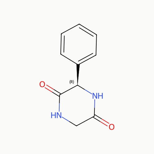 O=C1CNC(=O)[C@@H](c2ccccc2)N1